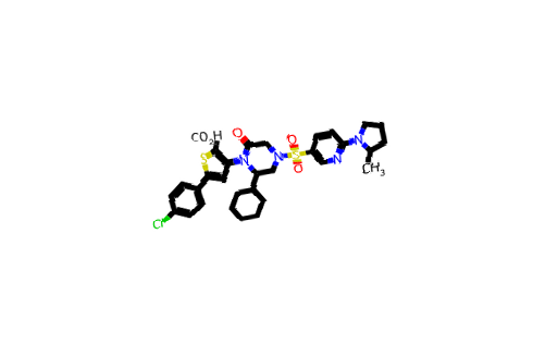 CC1CCCN1c1ccc(S(=O)(=O)N2CC(=O)N(c3cc(-c4ccc(Cl)cc4)sc3C(=O)O)C(C3CCCCC3)C2)cn1